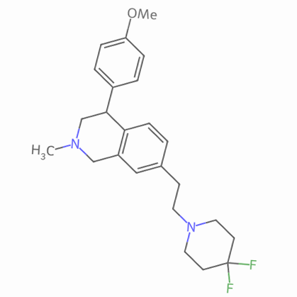 COc1ccc(C2CN(C)Cc3cc(CCN4CCC(F)(F)CC4)ccc32)cc1